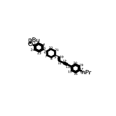 CCCCOc1ccc([C@H]2CC[C@H](C=CC#Cc3ccc(CCC)cc3)CC2)cc1